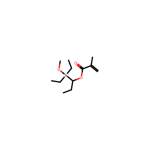 C=C(C)C(=O)OC(CC)[Si](CC)(CC)OC